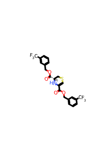 O=C(OCc1cccc(C(F)(F)F)c1)C1=CSC[C@@H](C(=O)OCc2cccc(C(F)(F)F)c2)N1